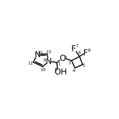 OC(OC1CCC1(F)F)n1ccnc1